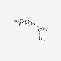 CCCCCOC(C)CCCC=Cc1ccc2nc(-c3ccc(O)c(F)c3)ccc2c1